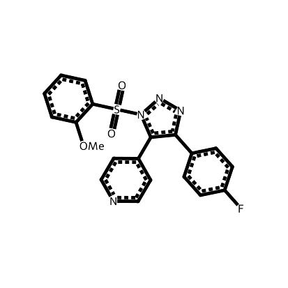 COc1ccccc1S(=O)(=O)n1nnc(-c2ccc(F)cc2)c1-c1ccncc1